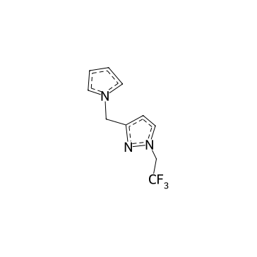 FC(F)(F)Cn1ccc(Cn2cccc2)n1